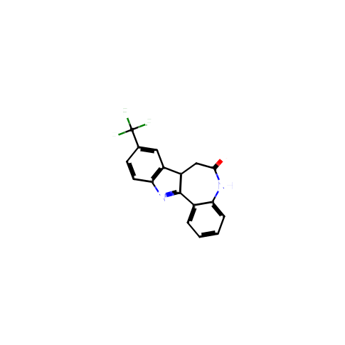 O=C1CC2C(=Nc3ccc(C(F)(F)F)cc32)c2ccccc2N1